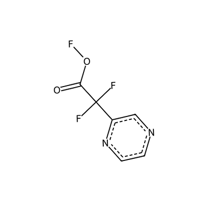 O=C(OF)C(F)(F)c1cnccn1